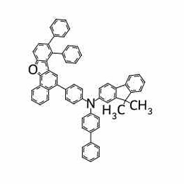 CC1(C)c2ccccc2-c2ccc(N(c3ccc(-c4ccccc4)cc3)c3ccc(-c4cc5c(oc6ccc(-c7ccccc7)c(-c7ccccc7)c65)c5ccccc45)cc3)cc21